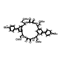 COCC1NC(=O)C(=O)NC(COC)c2cc(-c3ccc(C(C)(C)C)cc3)cc(c2)C(COC)NC(=O)C(=O)NC(COC)c2cc(-c3ccc(C(C)(C)C)cc3)cc1c2